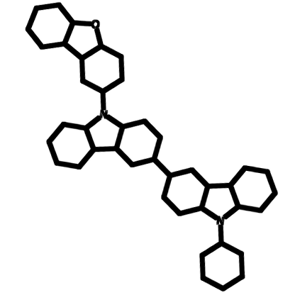 C1CCC(N2C3CCCCC3C3CC(C4CCC5C(C4)C4CCCCC4N5C4CCC5OC6CCCCC6C5C4)CCC32)CC1